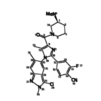 CN[C@H]1CCCN(C(=O)c2nc(-c3ccc(C#N)c(F)c3)n(-c3cc4c(Cl)n(C)nc4cc3C)c2C)C1